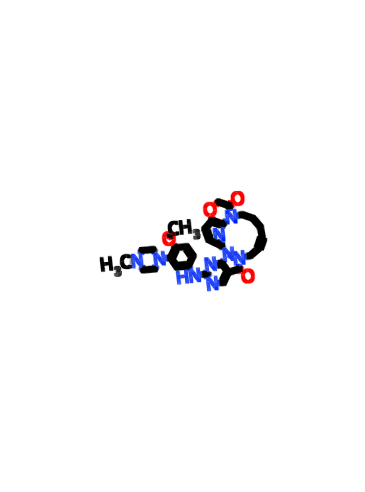 COc1ccc(Nc2ncc3c(=O)n4n(c3n2)-c2ccc3c(n2)N(CCCC#CC4)C(=O)CO3)cc1N1CCN(C)CC1